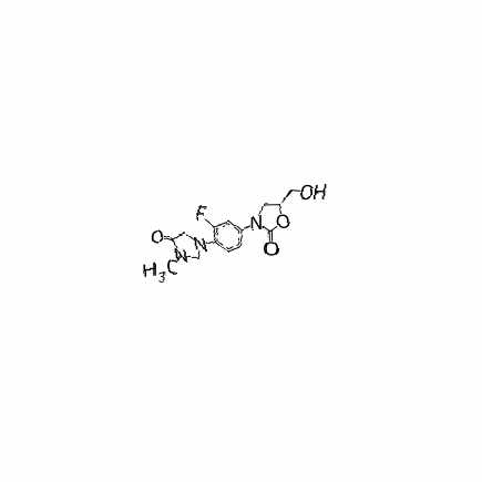 CN1CN(c2ccc(N3C[C@@H](CO)OC3=O)cc2F)CC1=O